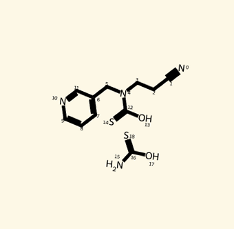 N#CCCN(Cc1cccnc1)C(O)=S.NC(O)=S